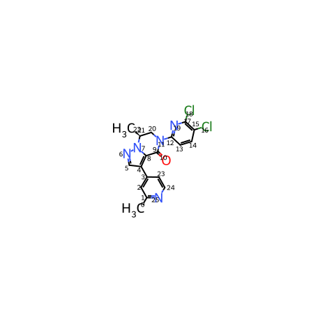 Cc1cc(-c2cnn3c2C(=O)N(c2ccc(Cl)c(Cl)n2)C[C@@H]3C)ccn1